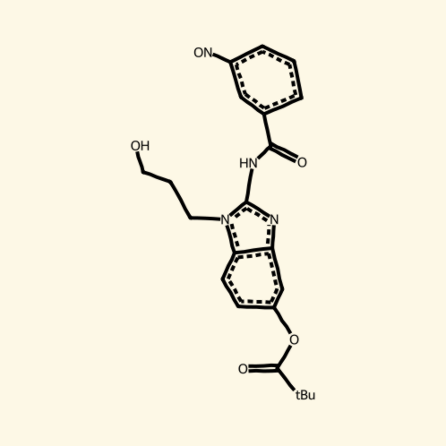 CC(C)(C)C(=O)Oc1ccc2c(c1)nc(NC(=O)c1cccc(N=O)c1)n2CCCO